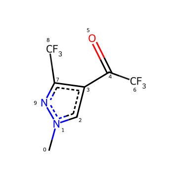 Cn1cc(C(=O)C(F)(F)F)c(C(F)(F)F)n1